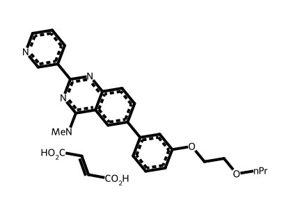 CCCOCCOc1cccc(-c2ccc3nc(-c4cccnc4)nc(NC)c3c2)c1.O=C(O)C=CC(=O)O